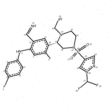 Cc1cc(Nc2ccc(F)cc2)c(C=N)cc1[C@H]1CN(S(=O)(=O)c2cnn(C(F)F)c2)CCN1CC(C)C